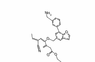 C=C(CC(=O)OCC)/C(=C\C(C#N)=C/C)OCc1cc(-c2cccc(CN)c2)c2occc2c1